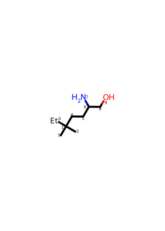 CCC(C)(C)CCC(N)CO